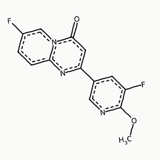 COc1ncc(-c2cc(=O)n3cc(F)ccc3n2)cc1F